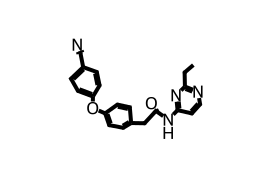 CCc1nccc(NC(=O)Cc2ccc(Oc3ccc(C#N)cc3)cc2)n1